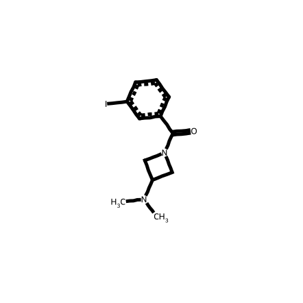 CN(C)C1CN(C(=O)c2cccc(I)c2)C1